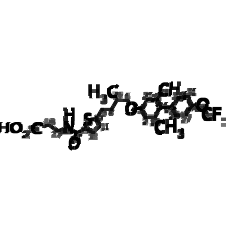 Cc1cc(OCC(C)CCc2ccc(C(=O)NCCC(=O)O)s2)cc(C)c1-c1ccc(OC(F)(F)F)cc1